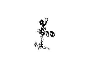 C[Si](C)(C)CCOCn1ccc2c(-c3cn(C(CC#N)C4CCCC4)nc3NCC(=O)N3CCOCC3)ncnc21